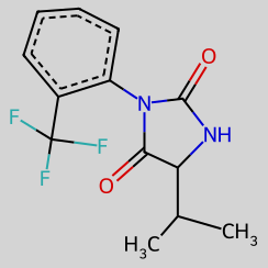 CC(C)C1NC(=O)N(c2ccccc2C(F)(F)F)C1=O